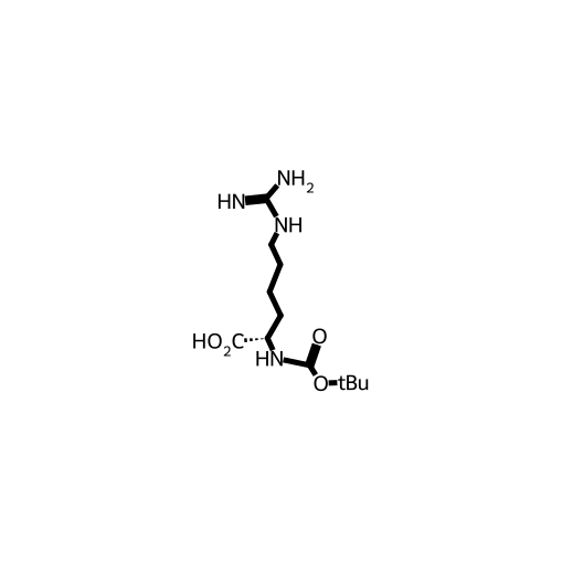 CC(C)(C)OC(=O)N[C@@H](CCCCNC(=N)N)C(=O)O